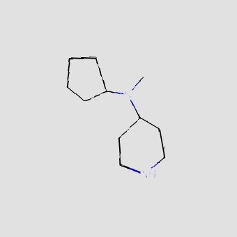 O=C(O)N(C1CCCC1)C1CCNCC1